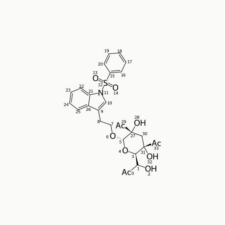 CC(=O)C(O)[C@H]1O[C@H](OCCc2cn(S(=O)(=O)c3ccccc3)c3ccccc23)[C@@](O)(C(C)=O)C[C@@]1(O)C(C)=O